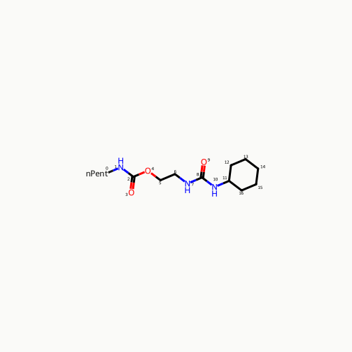 CCCCCNC(=O)OCCNC(=O)NC1CCCCC1